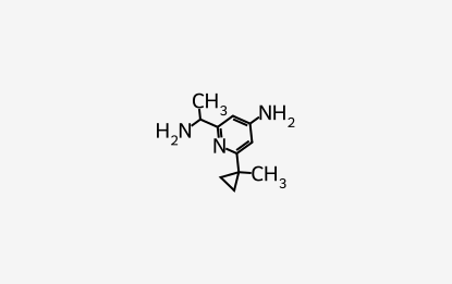 CC(N)c1cc(N)cc(C2(C)CC2)n1